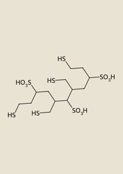 O=S(=O)(O)C(CCS)CC(CS)C(C(CS)CC(CCS)S(=O)(=O)O)S(=O)(=O)O